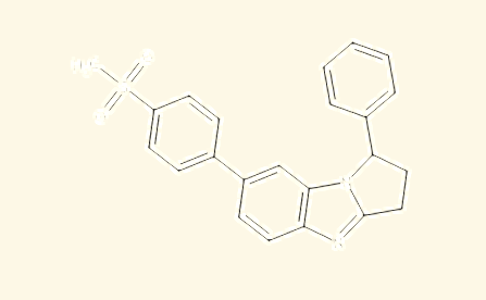 CS(=O)(=O)c1ccc(-c2ccc3nc4n(c3c2)C(c2ccccc2)CC4)cc1